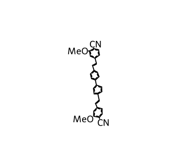 COc1cc(C=Cc2ccc(-c3ccc(C=Cc4ccc(C#N)c(OC)c4)cc3)cc2)ccc1C#N